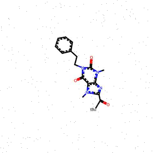 Cn1c(C(=O)C(C)(C)C)nc2c1c(=O)n(CCc1ccccc1)c(=O)n2C